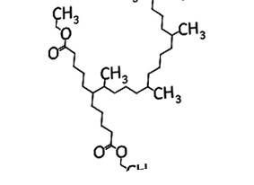 CCOC(=O)CCCCC(CCCCC(=O)OCC)C(C)CCCC(C)CCCCC(C)CCCC(C)C